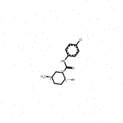 CC(C)[C@@H]1CC[C@@H](C)C[C@H]1C(=O)Nc1ccc(Cl)cc1